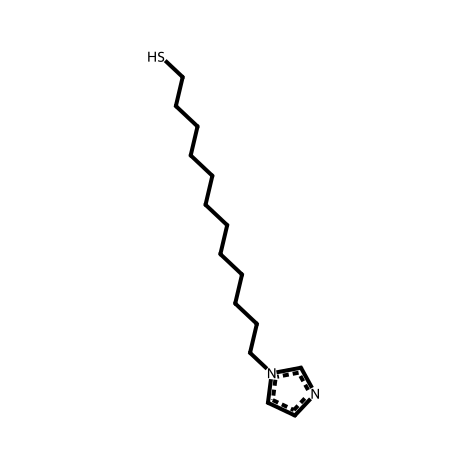 SCCCCCCCCCCCCn1ccnc1